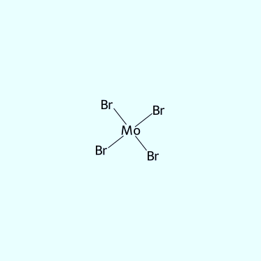 [Br][Mo]([Br])([Br])[Br]